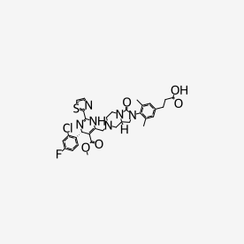 COC(=O)C1=C(CN2CCN3C(=O)N(c4c(C)cc(CCC(=O)O)cc4C)C[C@@H]3C2)NC(c2nccs2)=N[C@H]1c1ccc(F)cc1Cl